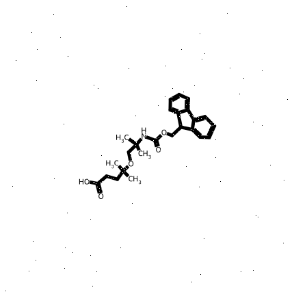 CC(C)(COC(C)(C)CCC(=O)O)NC(=O)OCC1c2ccccc2-c2ccccc21